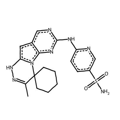 CC1=NNc2cc3cnc(Nc4ccc(S(N)(=O)=O)cn4)nc3n2C12CCCCC2